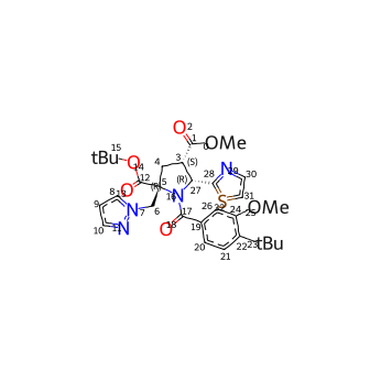 COC(=O)[C@H]1C[C@@](Cn2cccn2)(C(=O)OC(C)(C)C)N(C(=O)c2ccc(C(C)(C)C)c(OC)c2)[C@H]1c1nccs1